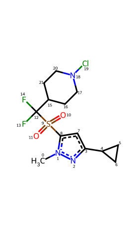 Cn1nc(C2CC2)cc1S(=O)(=O)C(F)(F)C1CCN(Cl)CC1